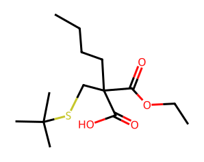 CCCCC(CSC(C)(C)C)(C(=O)O)C(=O)OCC